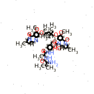 CCC(C)(COc1cc2c(cc1OC)C(=O)N1C=C(C)C[C@H]1[C@H](O)N2C(=O)OCc1ccc(NC(=O)[C@H](C)NC(=O)[C@@H](N)C(C)C)cc1)CC(C)(C)COc1cc2c(cc1OC)C(=O)N1C=C(C)C[C@H]1C=N2